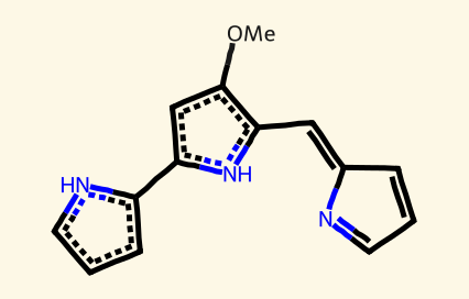 COc1cc(-c2ccc[nH]2)[nH]c1/C=C1/C=CC=N1